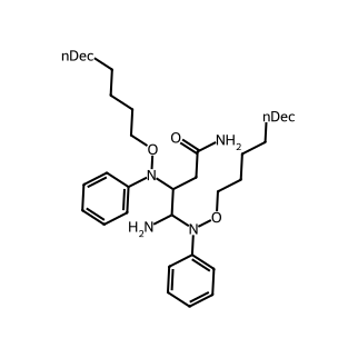 CCCCCCCCCCCCCCON(c1ccccc1)C(N)C(CC(N)=O)N(OCCCCCCCCCCCCCC)c1ccccc1